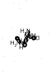 NCC(=O)NC(Cc1ccc(Cl)cc1)C(=O)N1CCN(C2(CNC(N)=Nc3ccccc3)CCCCC2)CC1